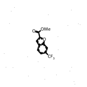 COC(=O)c1cc2ccc(C(F)(F)F)cc2o1